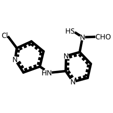 O=CN(S)c1ccnc(Nc2ccc(Cl)nc2)n1